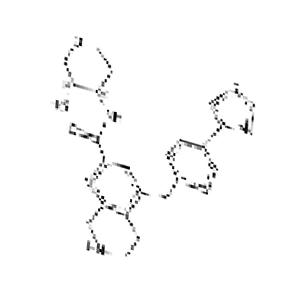 O=C(N[C@H]1CCOC[C@H]1O)c1cc(Cc2ccc(-c3cscn3)cc2)c2c(n1)CNCC2